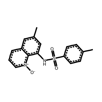 Cc1ccc(S(=O)(=O)Nc2cc(C)cc3ccc[n+]([O-])c23)cc1